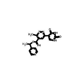 Cc1nnc(-c2c[nH]c(=O)[nH]c2=O)cc1C(=P)OC(C)c1ccncc1